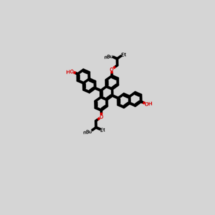 CCCCC(CC)COc1ccc2c(-c3ccc4cc(O)ccc4c3)c3cc(OCC(CC)CCCC)ccc3c(-c3ccc4cc(O)ccc4c3)c2c1